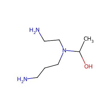 CC(O)N(CCN)CCCN